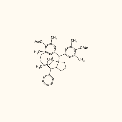 COc1c(C)cc(P(c2cc(C)c(OC)c(C)c2)C2(C3CCCCCC3)CCCC2[C@@H](c2ccccc2)N(C)C)cc1C